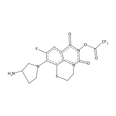 NC1CCN(c2c(F)cc3c(=O)n(OC(=O)C(F)(F)F)c(=O)n4c3c2SCC4)C1